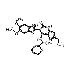 CCn1cc2[nH]c(=O)c(-c3nc4cc(OC)c(OC)cc4[nH]3)c(NC(C)c3ccccn3)c2n1